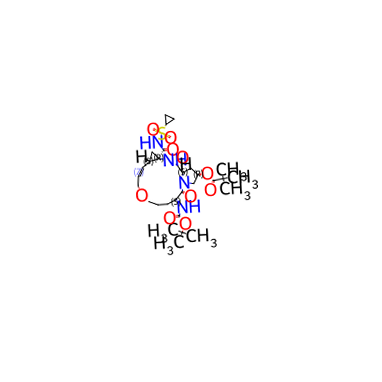 CC(C)(C)OC(=O)N[C@H]1CCCOC/C=C\[C@@H]2C[C@@]2(C(=O)NS(=O)(=O)C2CC2)NC(=O)[C@@H]2C[C@@H](OC(=O)C(C)(C)C)CN2C1=O